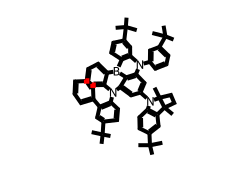 CC(C)(C)c1cccc(N2c3cc(C(C)(C)C)ccc3B3c4ccccc4N(c4ccc(C(C)(C)C)cc4-c4ccccc4)c4cc(N5c6ccc(C(C)(C)C)cc6C6(C)CCC56C)cc2c43)c1